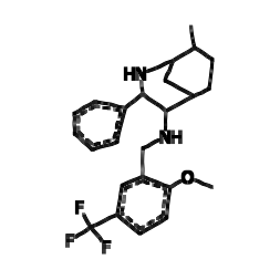 COc1ccc(C(F)(F)F)cc1CNC1C2CCC(C)C(C2)NC1c1ccccc1